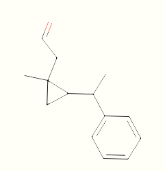 CC(c1ccccc1)C1CC1(C)CC=O